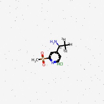 Cl.[2H]C([2H])([2H])[C@H](N)c1ccnc(S(C)(=O)=O)c1